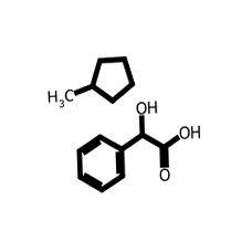 CC1CCCC1.O=C(O)C(O)c1ccccc1